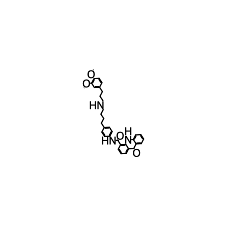 COc1ccc(CCCNCCCCc2ccc(NC(=O)c3cccc4c(=O)c5ccccc5[nH]c34)cc2)cc1OC